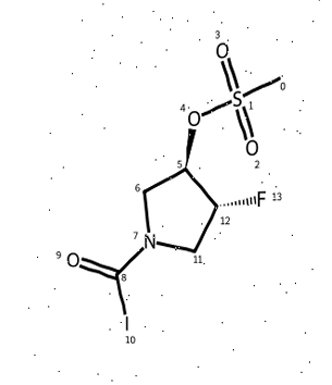 CS(=O)(=O)O[C@@H]1CN(C(=O)I)C[C@H]1F